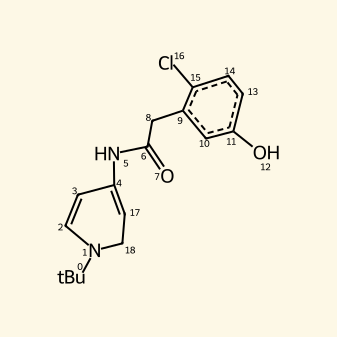 CC(C)(C)N1C=CC(NC(=O)Cc2cc(O)ccc2Cl)=CC1